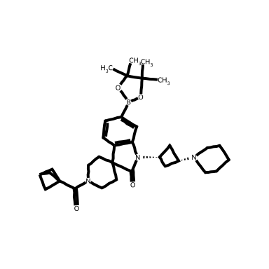 CC1(C)OB(c2ccc3c(c2)N([C@H]2C[C@@H](N4CCCCC4)C2)C(=O)C32CCN(C(=O)C34CC(C3)C4)CC2)OC1(C)C